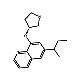 CCC(C)c1cc(O[C@H]2CC[N]C2)c2ncccc2c1